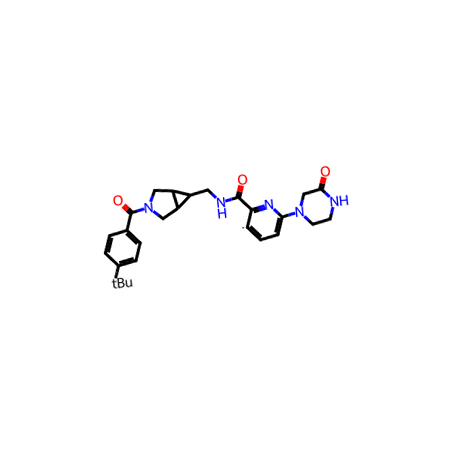 CC(C)(C)c1ccc(C(=O)N2CC3C(CNC(=O)c4[c]ccc(N5CCNC(=O)C5)n4)C3C2)cc1